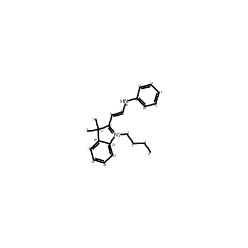 CCCC[N+]1=C(/C=C/Nc2ccccc2)C(C)(C)c2ccccc21